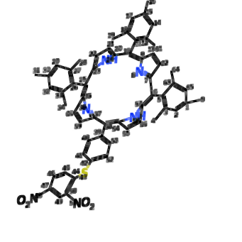 Cc1cc(C)c(-c2c3nc(c(-c4c(C)cc(C)cc4C)c4ccc([nH]4)c(-c4c(C)cc(C)cc4C)c4nc(c(-c5ccc(Sc6ccc([N+](=O)[O-])cc6[N+](=O)[O-])cc5)c5ccc2[nH]5)C=C4)C=C3)c(C)c1